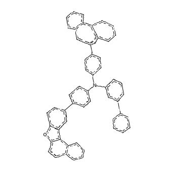 c1ccc(-c2cccc(N(c3ccc(-c4ccc5oc6ccc7ccccc7c6c5c4)cc3)c3ccc(-c4cc5ccccc5c5ccccc45)cc3)c2)cc1